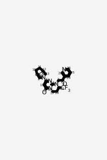 O=C(CN1c2nc(N3CC4CCC(C3)O4)cc(=O)n2CCC1C(F)(F)F)c1cccnc1